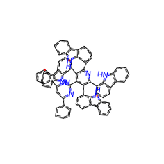 c1ccc(-c2cc(-c3ccccc3)nc(-c3c(-c4cccc5c4[nH]c4ccccc45)c(-c4cccc5c4[nH]c4ccccc45)nc(-c4cccc5c4[nH]c4ccccc45)c3-c3cccc4c3[nH]c3ccccc34)n2)cc1